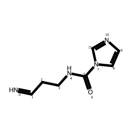 N=CCCNC(=O)n1ccnc1